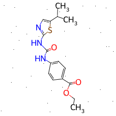 CCOC(=O)c1ccc(NC(=O)Nc2ncc(C(C)C)s2)cc1